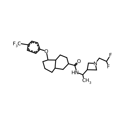 CC(NC(=O)C1CCC2C(CCCC2Oc2ccc(C(F)(F)F)cc2)C1)C1CN(CC(F)F)C1